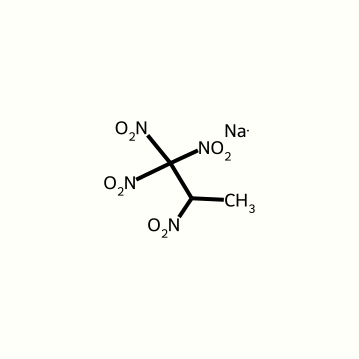 CC([N+](=O)[O-])C([N+](=O)[O-])([N+](=O)[O-])[N+](=O)[O-].[Na]